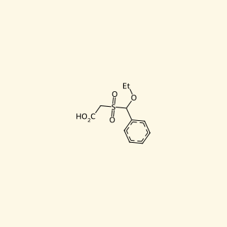 CCOC(c1ccccc1)S(=O)(=O)CC(=O)O